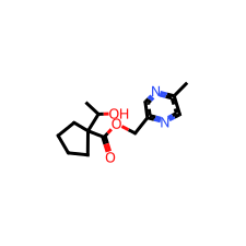 Cc1cnc(COC(=O)C2(C(C)O)CCCC2)cn1